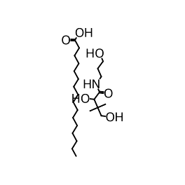 CC(C)(CO)C(O)C(=O)NCCCO.CCCCCCCCCCCCCCCC(=O)O